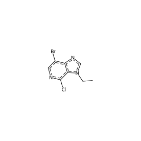 CCn1cnc2c(Br)cnc(Cl)c21